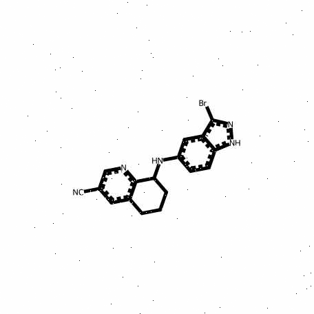 N#Cc1cnc2c(c1)CCCC2Nc1ccc2[nH]nc(Br)c2c1